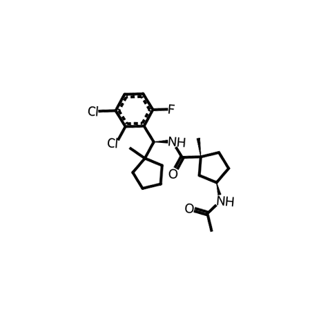 CC(=O)N[C@@H]1CC[C@@](C)(C(=O)N[C@H](c2c(F)ccc(Cl)c2Cl)C2(C)CCCC2)C1